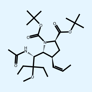 C/C=C\[C@@H]1C[C@H](C(=O)OC(C)(C)C)N(C(=O)OC(C)(C)C)[C@H]1[C@@H](NC(C)=O)C(CC)(CC)OC